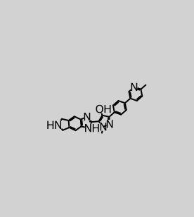 Cc1ccc(-c2ccc(-c3nn(C)c(-c4nc5cc6c(cc5[nH]4)CNC6)c3O)cc2)cn1